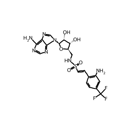 Nc1cc(C(F)(F)F)ccc1/C=C/S(=O)(=O)NC[C@H]1O[C@@H](n2cnc3c(N)ncnc32)[C@H](O)[C@@H]1O